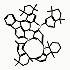 Cc1cc2c3cc1N1c4cc(cc5c4B4c6c1ccc1c6C(C)(c6ccccc6-1)c1c4c(cc4c1C(C)(C)CCC4(C)C)N5c1ccc4c(c1)C(C)(C)CCC4(C)C)N1c4cc(ccc4C4(C)CCCCC14C)C3(C)CCC2(C)C